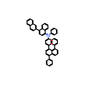 c1ccc(-c2ccc(-c3ccc(N(c4ccccc4)c4ccc(-c5ccc6ccccc6c5)c5ccccc45)cc3)c3c(-c4ccccc4)cccc23)cc1